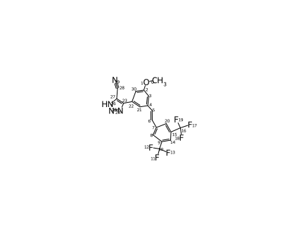 COc1cc(/C=C/c2cc(C(F)(F)F)cc(C(F)(F)F)c2)cc(-c2nn[nH]c2C#N)c1